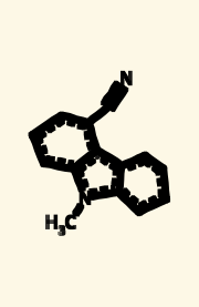 Cn1c2ccccc2c2c(C#N)cccc21